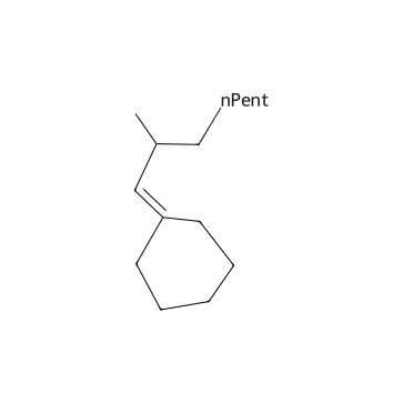 CCCCCCC(C)C=C1CCCCC1